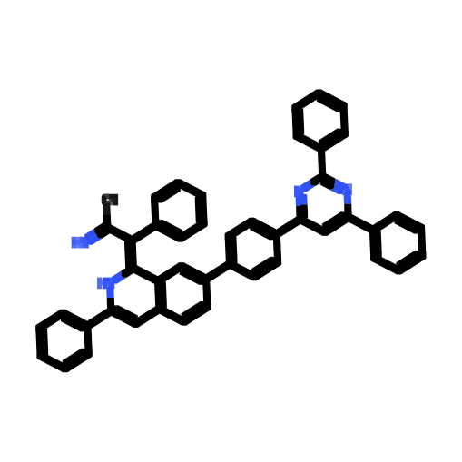 N#CC(=N)/C(=C1\NC(c2ccccc2)=Cc2ccc(-c3ccc(-c4cc(-c5ccccc5)nc(-c5ccccc5)n4)cc3)cc21)c1ccccc1